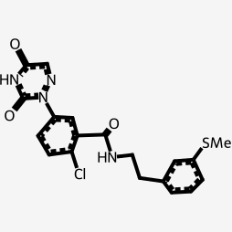 CSc1cccc(CCNC(=O)c2cc(-n3ncc(=O)[nH]c3=O)ccc2Cl)c1